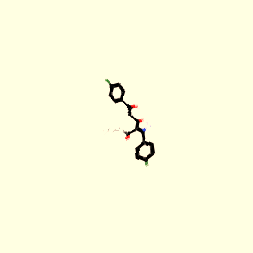 CNC(=O)c1c(-c2ccc(Cl)cc2)noc1CC(=O)c1ccc(Cl)cc1